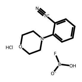 Cl.N#[N+]c1ccccc1N1CCOCC1.[O-]B(O)F